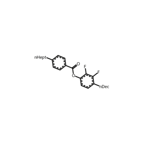 CCCCCCCCCCc1ccc(OC(=O)c2ccc(CCCCCCC)cc2)c(F)c1F